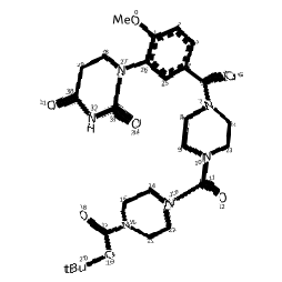 COc1ccc(C(=O)N2CCN(C(=O)N3CCN(C(=O)OC(C)(C)C)CC3)CC2)cc1N1CCC(=O)NC1=O